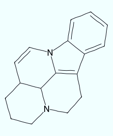 C1=Cn2c3c(c4ccccc42)CCN2CCCC1C32